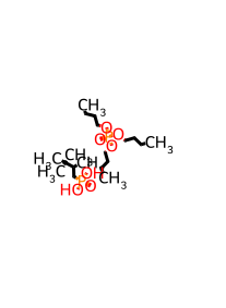 CC(CP(=O)(O)O)C(C)(C)C.CCCCOP(=O)(OCCCC)OCCCC